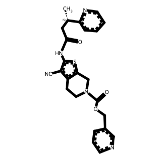 C[C@@H](CC(=O)Nc1sc2c(c1C#N)CCN(C(=O)OCc1cccnc1)C2)c1ccccn1